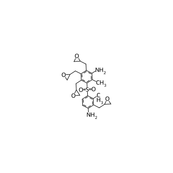 Cc1c(S(=O)(=O)c2c(C)c(N)c(CC3CO3)c(CC3CO3)c2CC2CO2)ccc(N)c1CC1CO1